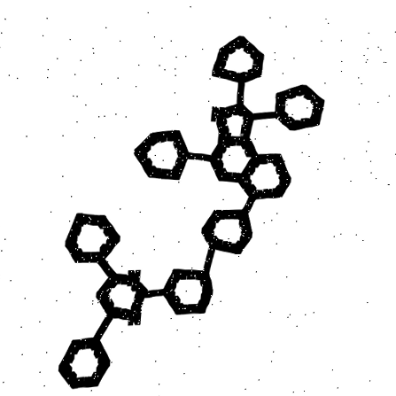 c1ccc(-c2cc(-c3ccccc3)nc(-c3cccc(-c4ccc(-c5cccc6c5cc(-c5ccccc5)n5nc(-c7ccccc7)c(-c7ccccc7)c65)cc4)c3)n2)cc1